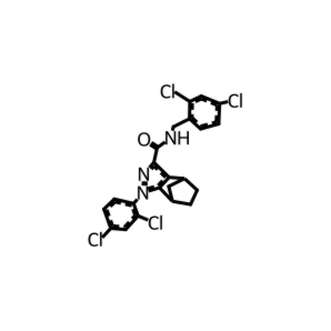 O=C(NCc1ccc(Cl)cc1Cl)c1nn(-c2ccc(Cl)cc2Cl)c2c1C1CCC2C1